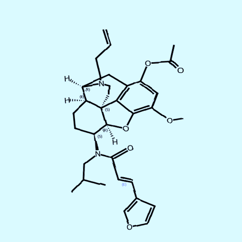 C=CCN1CC[C@]23c4c5c(OC(C)=O)cc(OC)c4O[C@H]2[C@@H](N(CC(C)C)C(=O)/C=C/c2ccoc2)CC[C@H]3[C@H]1C5